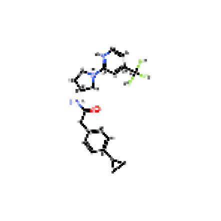 O=C(Cc1ccc(C2CC2)cc1)N[C@@H]1CCN(c2cc(C(F)(F)F)ccn2)C1